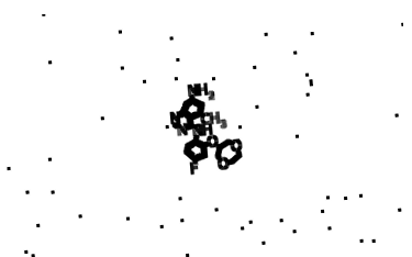 Cc1cc(N)cc2ncnc(Nc3ccc(F)cc3OC3COCCOC3)c12